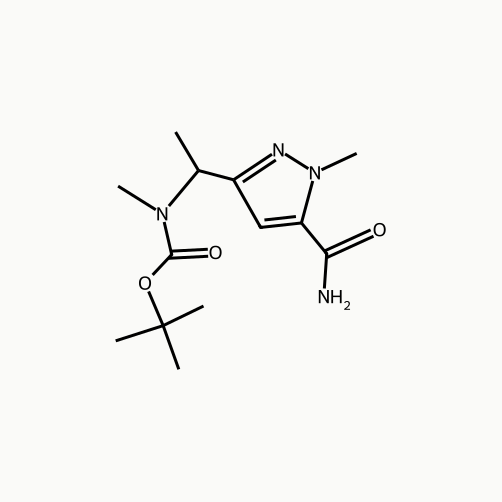 CC(c1cc(C(N)=O)n(C)n1)N(C)C(=O)OC(C)(C)C